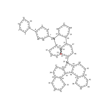 c1ccc(-c2ccc(N(c3ccccc3)c3ccccc3-c3ccc(-n4c5ccc6ccccc6c5c5c6ccccc6ccc54)cc3)cc2)cc1